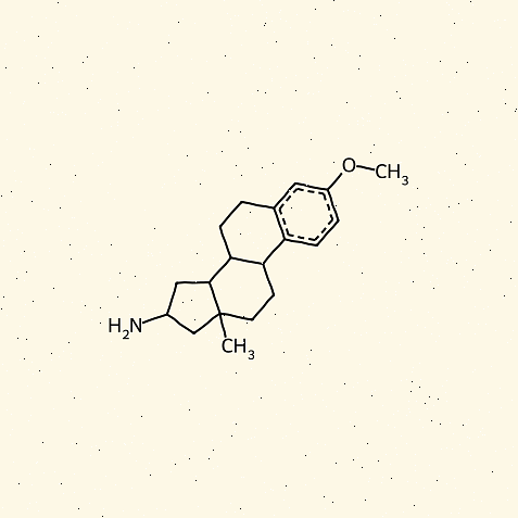 COc1ccc2c(c1)CCC1C2CCC2(C)CC(N)CC12